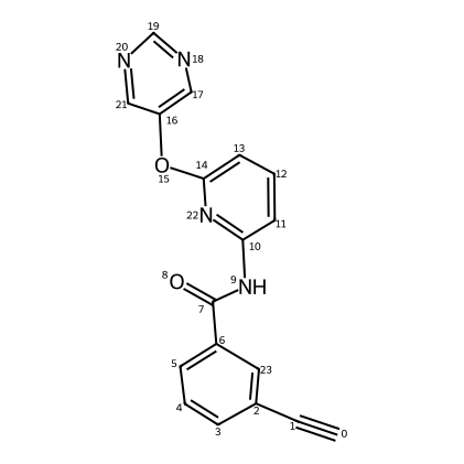 C#Cc1cccc(C(=O)Nc2cccc(Oc3cncnc3)n2)c1